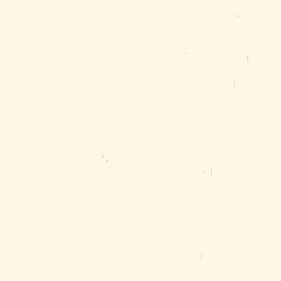 COc1cc2c(CC(=O)O)c(C)n(Cc3ccc(OC(F)(F)C(F)(F)F)s3)c2cc1Cl